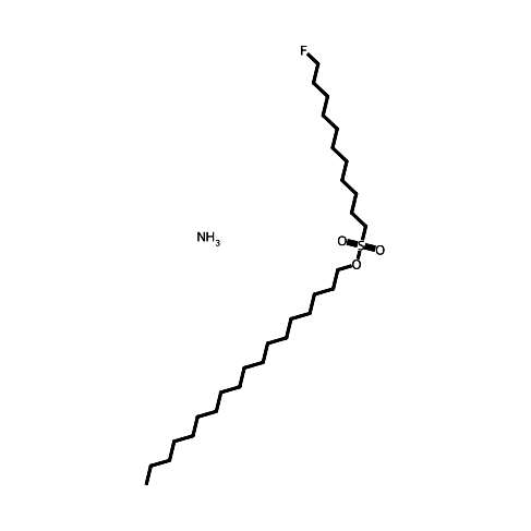 CCCCCCCCCCCCCCCCCCOS(=O)(=O)CCCCCCCCCCCF.N